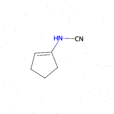 N#CNC1=CCCC1